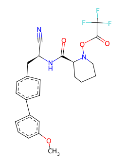 COc1cccc(-c2ccc(C[C@@H](C#N)NC(=O)[C@@H]3CCCCN3OC(=O)C(F)(F)F)cc2)c1